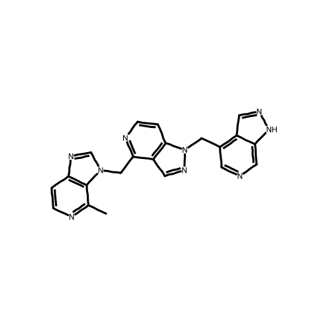 Cc1nccc2ncn(Cc3nccc4c3cnn4Cc3cncc4[nH]ncc34)c12